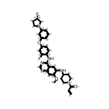 C=CC(=O)N1CCC(Nc2cc3c(Nc4ccc(Oc5cccc(N6CC[C@@H](F)C6)c5)cc4F)ncnc3cc2OC)CC1